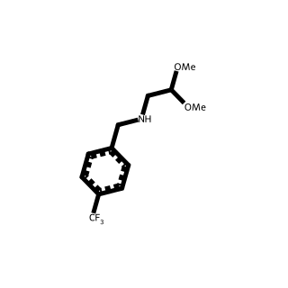 COC(CNCc1ccc(C(F)(F)F)cc1)OC